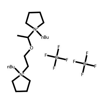 CCCC[N+]1(CCOC(C)[N+]2(CCCC)CCCC2)CCCC1.F[B-](F)(F)F.F[B-](F)(F)F